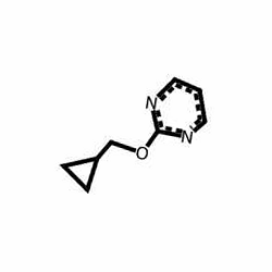 c1cnc(OCC2CC2)nc1